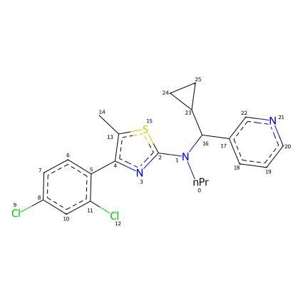 CCCN(c1nc(-c2ccc(Cl)cc2Cl)c(C)s1)C(c1cccnc1)C1CC1